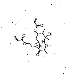 C=CC(=O)OCCOC(=O)C(C)ON1C(C)(CC)CC(OC(=O)C=C)C(C)C1(C)CC